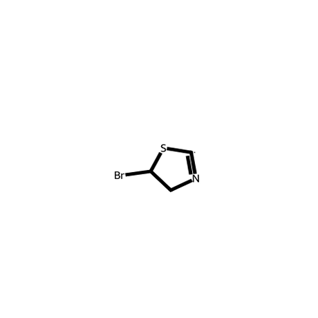 BrC1CN=[C]S1